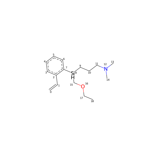 C=Cc1ccccc1[SiH](CCCN(C)C)COCC